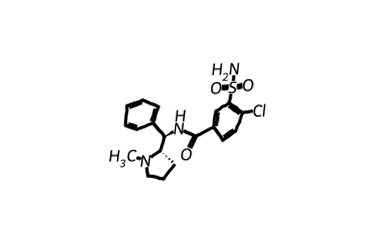 CN1CCC[C@H]1[C@H](NC(=O)c1ccc(Cl)c(S(N)(=O)=O)c1)c1ccccc1